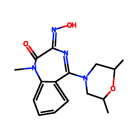 CC1CN(c2nc(=NO)c(=O)n(C)c3ccccc23)CC(C)O1